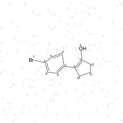 OC1=C(c2ccc(Br)cc2)CCC1